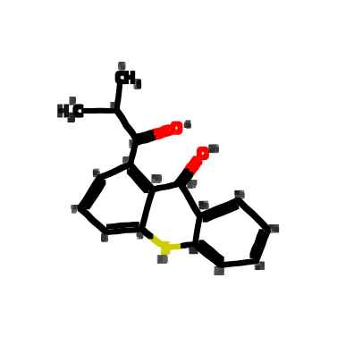 CC(C)C(=O)c1cccc2sc3ccccc3c(=O)c12